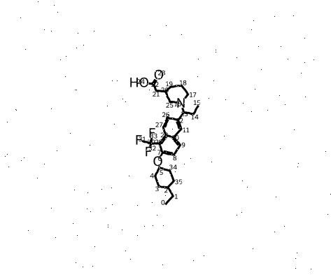 CCC1CCC(Oc2ccc3cc(C(CC)N4CCCC(CC(=O)O)C4)ccc3c2C(F)(F)F)CC1